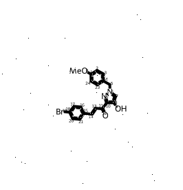 COc1ccc(Cn2cc(O)c(C(=O)C=Cc3ccc(Br)cc3)n2)cc1